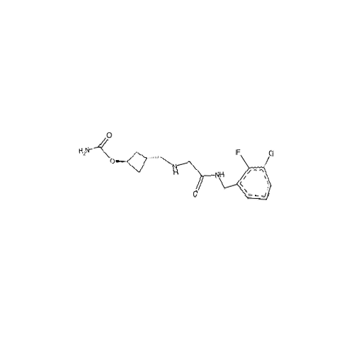 NC(=O)O[C@H]1C[C@H](CNCC(=O)NCc2cccc(Cl)c2F)C1